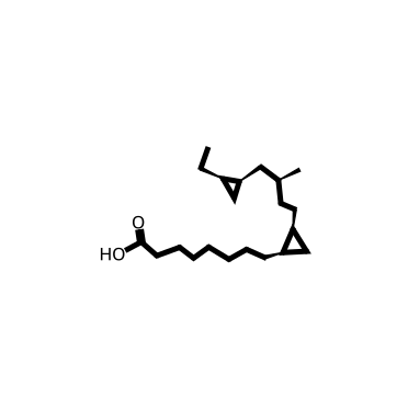 CC[C@@H]1C[C@@H]1C[C@@H](C)CC[C@H]1C[C@H]1CCCCCCCC(=O)O